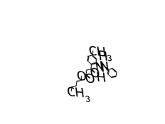 CCCCCOC(=O)CC(=O)c1ccc(C)cc1NNc1ccccc1